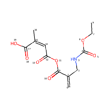 C=C(CNC(=O)OCC)C(=O)OC(=O)C=C(C)C(=O)O